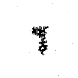 CO[C@H]1O[C@H](COS(=O)(=O)c2ccc(C)cc2)[C@@H]2OC(C)(C)O[C@H]12